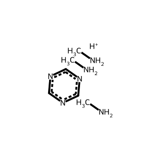 CN.CN.CN.[H+].c1ncncn1